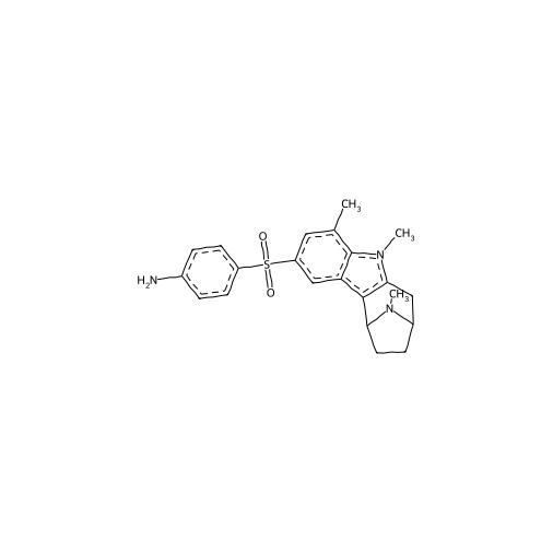 Cc1cc(S(=O)(=O)c2ccc(N)cc2)cc2c3c(n(C)c12)CC1CCC3N1C